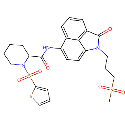 CS(=O)(=O)CCCN1C(=O)c2cccc3c(NC(=O)C4CCCCN4S(=O)(=O)c4cccs4)ccc1c23